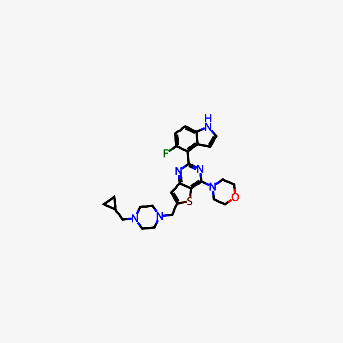 Fc1ccc2[nH]ccc2c1-c1nc(N2CCOCC2)c2sc(CN3CCN(CC4CC4)CC3)cc2n1